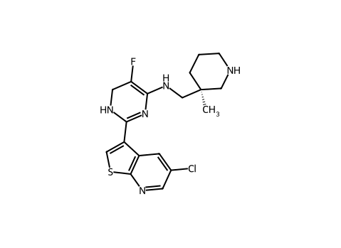 C[C@]1(CNC2=C(F)CNC(c3csc4ncc(Cl)cc34)=N2)CCCNC1